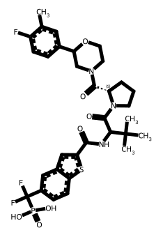 Cc1cc(C2CN(C(=O)[C@@H]3CCCN3C(=O)C(NC(=O)c3cc4cc(C(F)(F)P(=O)(O)O)ccc4s3)C(C)(C)C)CCO2)ccc1F